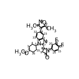 COC1CCC(n2c([C@@H]3CC(=O)N3c3ccc(F)c(F)c3)nc3cc(-c4c(C)noc4C)ccc32)CC1